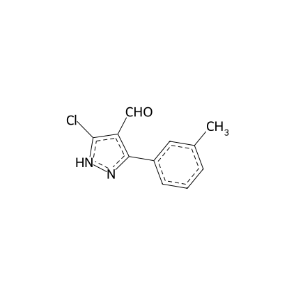 Cc1cccc(-c2n[nH]c(Cl)c2C=O)c1